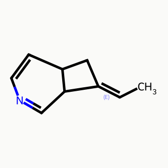 C/C=C1\CC2C=CN=CC12